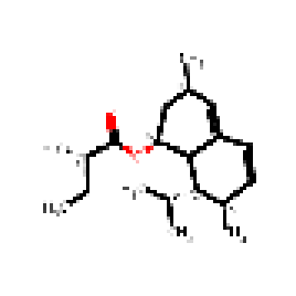 CC[C@H](C)C(=O)O[C@H]1C[C@@H](C)C=C2C=C[C@@H](C)[C@H](C(C)C)C21